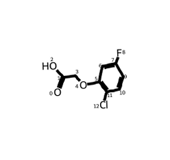 O=C(O)COc1cc(F)ccc1Cl